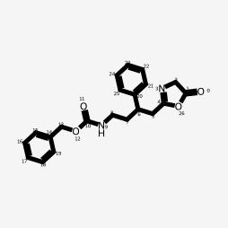 O=C1CN=C(CC(CCNC(=O)OCc2ccccc2)c2ccccc2)O1